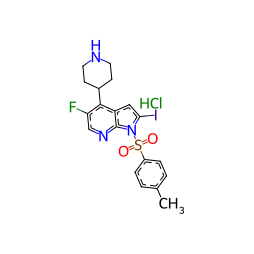 Cc1ccc(S(=O)(=O)n2c(I)cc3c(C4CCNCC4)c(F)cnc32)cc1.Cl